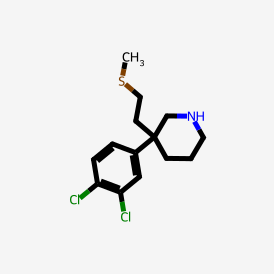 CSCCC1(c2ccc(Cl)c(Cl)c2)CCCNC1